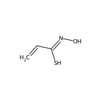 C=CC(S)=NO